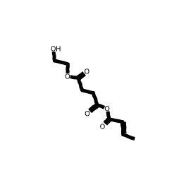 CC=CC(=O)OC(=O)CCC(=O)OCCO